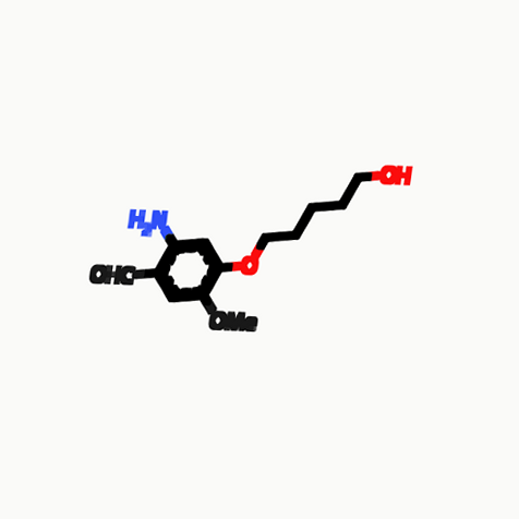 COc1cc(C=O)c(N)cc1OCCCCCO